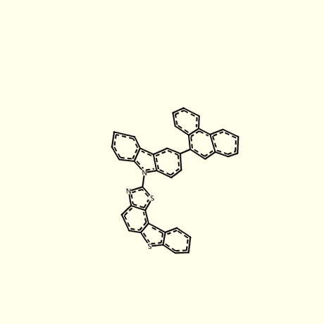 c1ccc2c(c1)cc(-c1ccc3c(c1)c1ccccc1n3-c1nc3ccc4sc5ccccc5c4c3s1)c1ccccc12